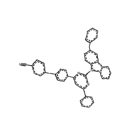 N#Cc1ccc(-c2ccc(-c3cc(-c4ccccc4)nc(-n4c5ccccc5c5cc(-c6ccccc6)ccc54)n3)cc2)cc1